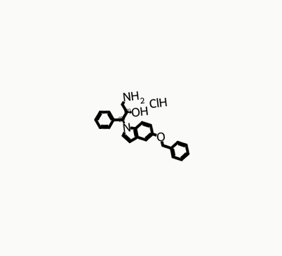 Cl.NC[C@@H](O)[C@H](c1ccccc1)n1ccc2cc(OCc3ccccc3)ccc21